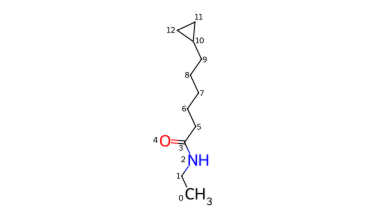 CCNC(=O)CCCCCC1CC1